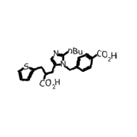 CCCCc1ncc(CC(Cc2cccs2)C(=O)O)n1Cc1ccc(C(=O)O)cc1